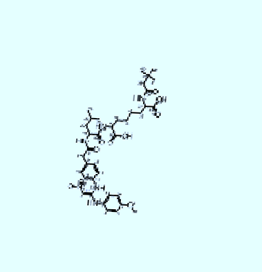 COc1ccc(N/C(=C/[N+](=O)[O-])Nc2ccc(CC(=O)NC(CC(C)C)C(=O)NC(CCCCC(NC(=O)CC(C)(C)C)C(=O)O)C(=O)O)cc2)cc1